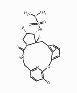 CN(C)S(=O)(=O)N[C@H]1[C@@H](F)CN2C(=O)NCc3ccc(Cl)c(n3)Oc3cccc(c3F)C[C@@H]12